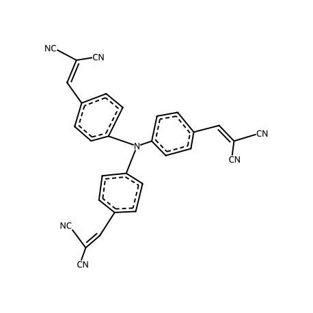 N#CC(C#N)=Cc1ccc(N(c2ccc(C=C(C#N)C#N)cc2)c2ccc(C=C(C#N)C#N)cc2)cc1